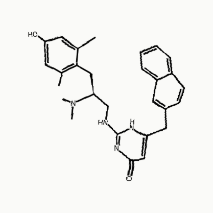 Cc1cc(O)cc(C)c1C[C@@H](CNc1nc(=O)cc(Cc2ccc3ccccc3c2)[nH]1)N(C)C